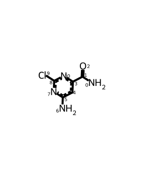 NC(=O)c1cc(N)nc(Cl)n1